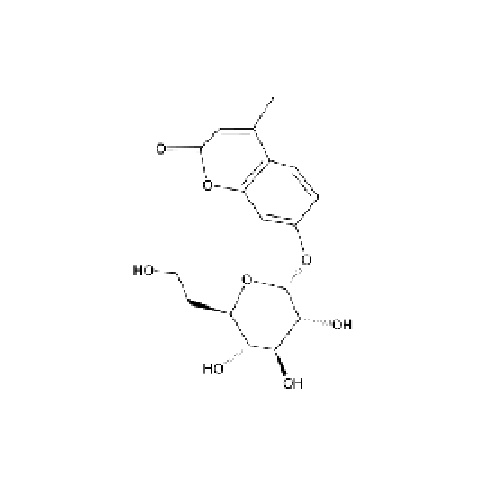 Cc1cc(=O)oc2cc(O[C@H]3O[C@H](CCO)[C@@H](O)[C@H](O)[C@H]3O)ccc12